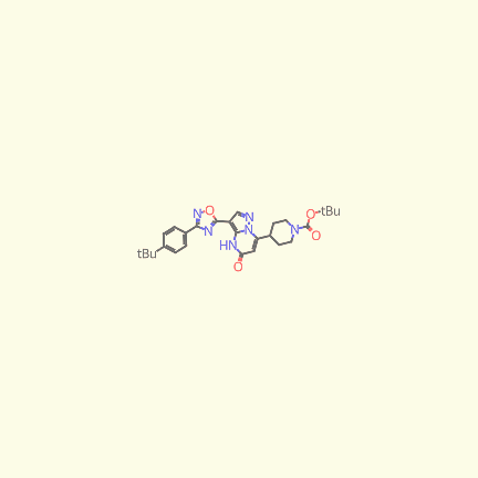 CC(C)(C)OC(=O)N1CCC(c2cc(=O)[nH]c3c(-c4nc(-c5ccc(C(C)(C)C)cc5)no4)cnn23)CC1